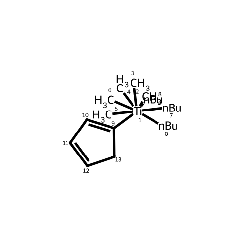 CCC[CH2][Ti]([CH3])([CH3])([CH3])([CH3])([CH3])([CH2]CCC)([CH2]CCC)[C]1=CC=CC1